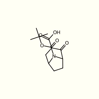 CC(C)(C)OC(=O)N1C2CCC1C(=O)C(C(=O)O)C2